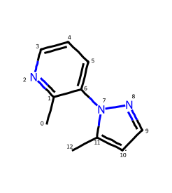 Cc1ncccc1-n1nc[c]c1C